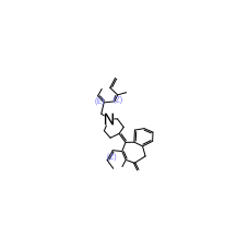 C=C/C(C)=C\C(=C/C)CN1CCC(=C2C(/C=C\C)=C(C)C(=C)Cc3ccccc32)CC1